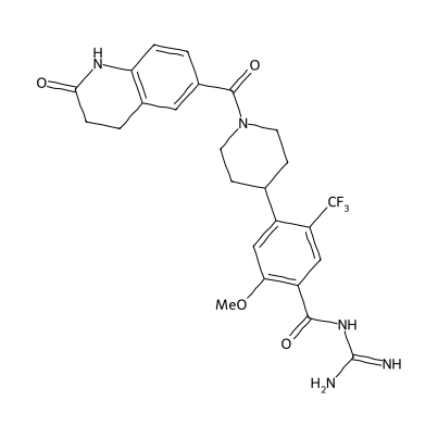 COc1cc(C2CCN(C(=O)c3ccc4c(c3)CCC(=O)N4)CC2)c(C(F)(F)F)cc1C(=O)NC(=N)N